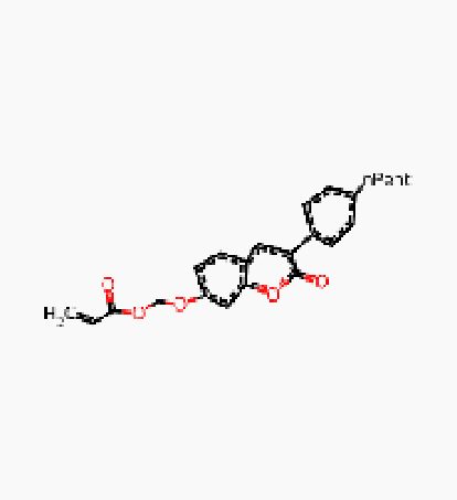 C=CC(=O)OCOc1ccc2cc(-c3ccc(CCCCC)cc3)c(=O)oc2c1